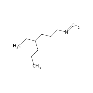 C=NCCCC(CC)CCC